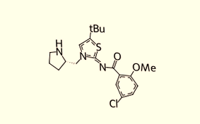 COc1ccc(Cl)cc1C(=O)/N=c1\sc(C(C)(C)C)cn1C[C@@H]1CCCN1